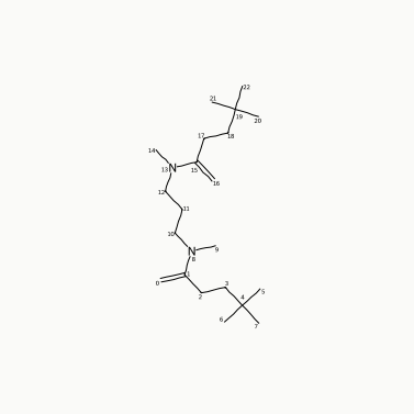 C=C(CCC(C)(C)C)N(C)CCCN(C)C(=C)CCC(C)(C)C